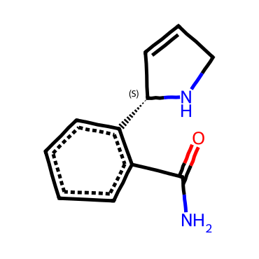 NC(=O)c1ccccc1[C@@H]1C=CCN1